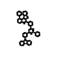 c1ccc(-c2nc(-c3cccc(-c4nc5cccc(-c6ccccc6)c5c5c4sc4ccccc45)c3)cc(-c3cccc(-n4c5ccccc5c5ccccc54)c3)n2)cc1